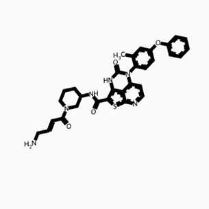 Cc1cc(Oc2ccccc2)ccc1N1C(=O)Nc2c(C(=O)NC3CCCN(C(=O)C=CCN)C3)sc3nccc1c23